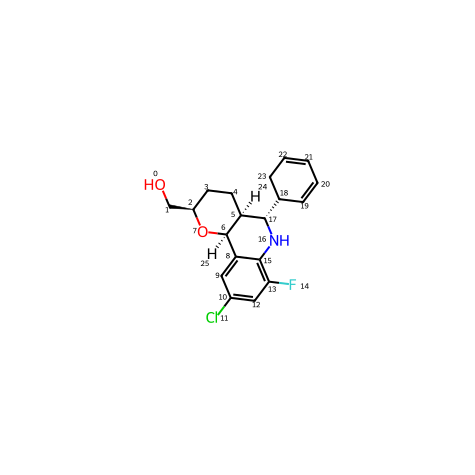 OC[C@H]1CC[C@@H]2[C@H](O1)c1cc(Cl)cc(F)c1N[C@H]2C1C=CC=CC1